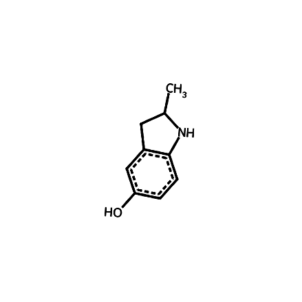 CC1Cc2cc(O)ccc2N1